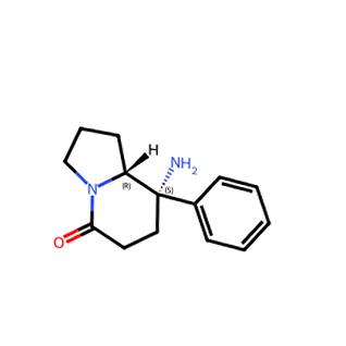 N[C@]1(c2ccccc2)CCC(=O)N2CCC[C@@H]21